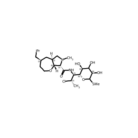 CSC1O[C@H]([C@H](NC(=O)[C@@H]2[C@@H]3OCC[C@@H](CC(C)C)C[C@H]3CN2C)[C@H](C)Cl)[C@@H](O)C(O)[C@H]1O